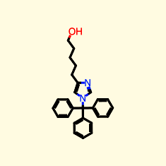 OCCCCCc1cn(C(c2ccccc2)(c2ccccc2)c2ccccc2)cn1